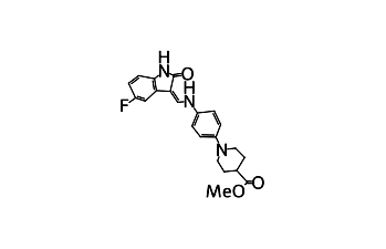 COC(=O)C1CCN(c2ccc(NC=C3C(=O)Nc4ccc(F)cc43)cc2)CC1